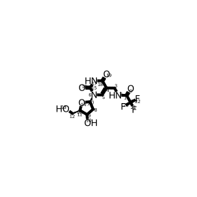 O=C(NCc1cn([C@H]2CC(O)[C@@H](CO)O2)c(=O)[nH]c1=O)C(F)(F)F